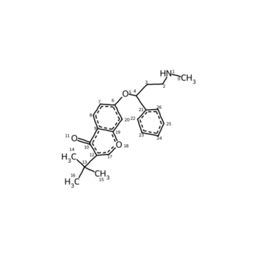 CNCCC(Oc1ccc2c(=O)c(C(C)(C)C)coc2c1)c1ccccc1